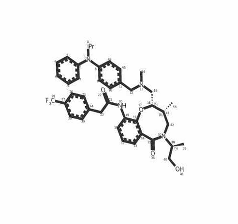 CC(C)N(c1ccccc1)c1ccc(CN(C)C[C@H]2Oc3c(NC(=O)Cc4ccc(C(F)(F)F)cc4)cccc3C(=O)N([C@@H](C)CO)C[C@H]2C)cc1